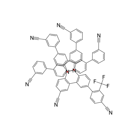 N#Cc1cccc(-c2ccc3c(c2)c2cc(-c4cccc(C#N)c4)ccc2n3-c2ccc(C#N)cc2-c2cc(-c3ccc(C#N)cc3C(F)(F)F)ccc2-n2c3ccc(-c4cccc(C#N)c4)cc3c3cc(-c4cccc(C#N)c4)ccc32)c1